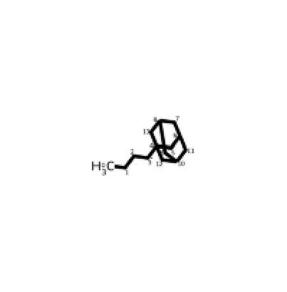 CCC[CH]C12CC3CC(CC(C3)C1)C2